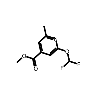 COC(=O)c1cc(C)nc(OC(F)F)c1